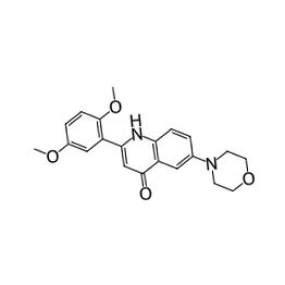 COc1ccc(OC)c(-c2cc(=O)c3cc(N4CCOCC4)ccc3[nH]2)c1